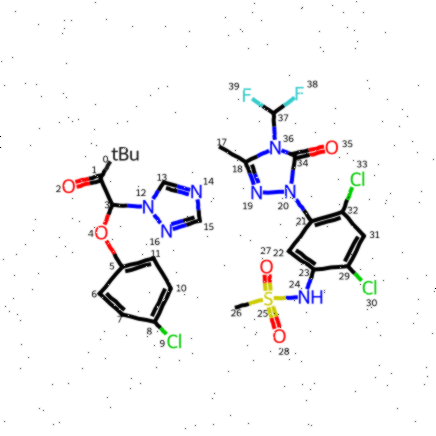 CC(C)(C)C(=O)C(Oc1ccc(Cl)cc1)n1cncn1.Cc1nn(-c2cc(NS(C)(=O)=O)c(Cl)cc2Cl)c(=O)n1C(F)F